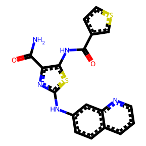 NC(=O)c1nc(Nc2ccc3cccnc3c2)sc1NC(=O)c1ccsc1